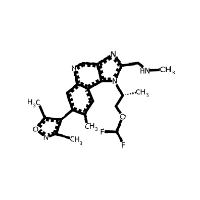 CNCc1nc2cnc3cc(-c4c(C)noc4C)c(C)cc3c2n1[C@H](C)COC(F)F